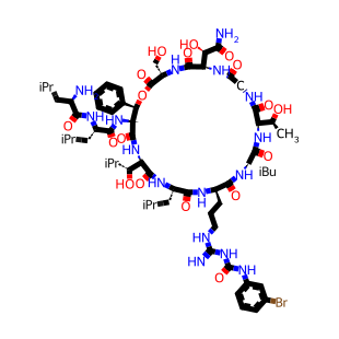 CC[C@H](C)[C@@H]1NC(=O)[C@@H](CCCNC(=N)NC(=O)Nc2cccc(Br)c2)NC(=O)[C@H](CC(C)C)NC(=O)[C@H]([C@H](O)C(C)C)NC(=O)[C@@H](NC(=O)[C@H](CC(C)C)NC(=O)[C@H](N)CC(C)C)[C@@H](c2ccccc2)OC(=O)[C@H](CO)NC(=O)[C@H]([C@H](O)C(N)=O)NC(=O)CNC(=O)[C@H]([C@H](C)O)NC1=O